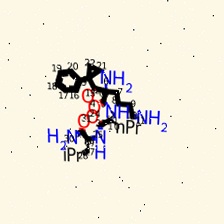 CCC[C@H](NC(=O)[C@@](N)(CCCCN)C(=O)C1(c2ccccc2)CC1)C(=O)N[C@@H](CC(C)C)C(N)=O